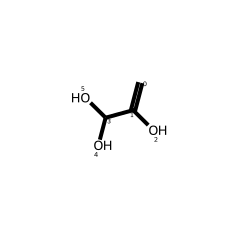 C=C(O)C(O)O